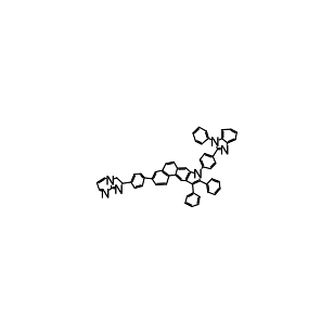 C1=CN2CC(c3ccc(-c4ccc5c(ccc6cc7c(cc65)c(-c5ccccc5)c(-c5ccccc5)n7-c5ccc(-c6nc7ccccc7n6-c6ccccc6)cc5)c4)cc3)N=C2N=C1